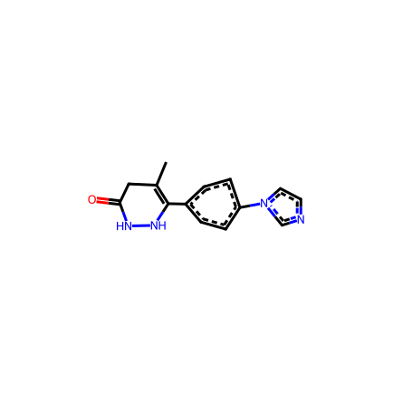 CC1=C(c2ccc(-n3ccnc3)cc2)NNC(=O)C1